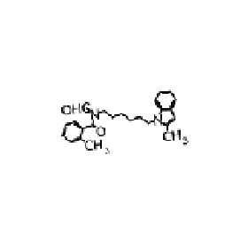 Cc1ccccc1C(=O)N(C=O)CCCCCCn1c(C)cc2ccccc21